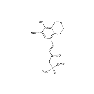 COP(=O)(CC(=O)C=Cc1cc(C(C)(C)C)c(O)c2c1CCCC2)OC